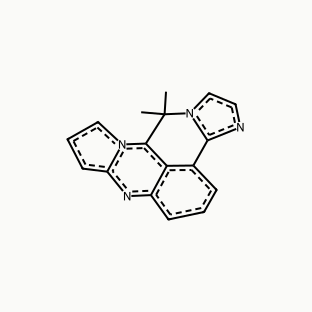 CC1(C)c2c3c(cccc3nc3cccn23)-c2nccn21